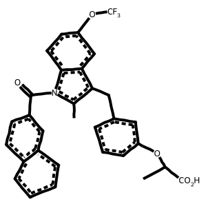 Cc1c(Cc2cccc(OC(C)C(=O)O)c2)c2cc(OC(F)(F)F)ccc2n1C(=O)c1ccc2ccccc2c1